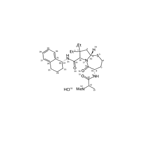 CCC1(CC)C[C@@H]2SCC[C@H](NC(=O)C(C)NC)C(=O)N2C1C(=O)N[C@@H]1CCCc2ccccc21.Cl